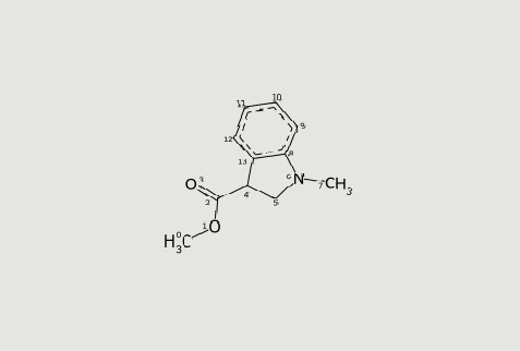 COC(=O)C1CN(C)c2ccccc21